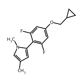 Cc1cc(-c2c(F)cc(OCC3CC3)cc2F)n(C)c1